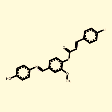 COc1cc(/C=N/c2ccc(O)cc2)ccc1OC(=O)/C=C/c1ccc(Cl)cc1